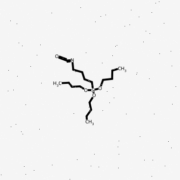 CCCCO[Si](CCCCN=C=O)(OCCCC)OCCCC